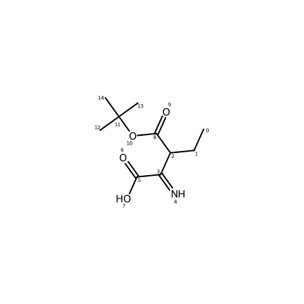 CCC(C(=N)C(=O)O)C(=O)OC(C)(C)C